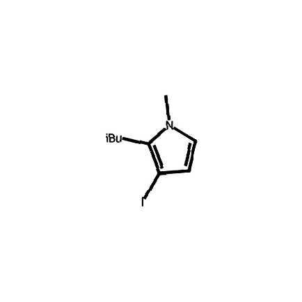 CCC(C)c1c(I)ccn1C